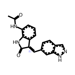 CC(=O)Nc1cccc2c1NC(=O)/C2=C/c1ccc2cn[nH]c2c1